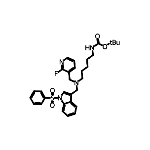 CC(C)(C)OC(=O)NCCCCCN(Cc1cccnc1F)Cc1cn(S(=O)(=O)c2ccccc2)c2ccccc12